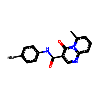 CCCCc1ccc(NC(=O)c2cnc3cccc(C)n3c2=O)cc1